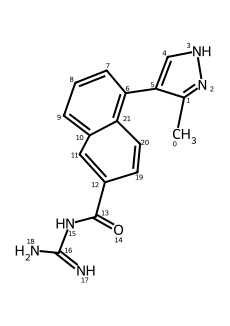 Cc1n[nH]cc1-c1cccc2cc(C(=O)NC(=N)N)ccc12